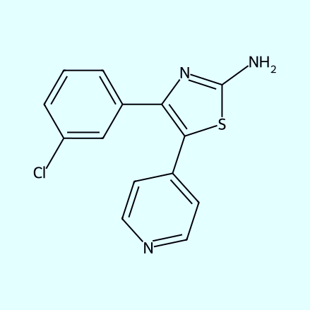 Nc1nc(-c2cccc(Cl)c2)c(-c2ccncc2)s1